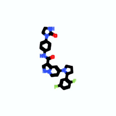 O=C(Nc1ccc(N2CCNC2=O)cc1)c1cnn2ccc(N3CCCC3c3cc(F)ccc3F)cc12